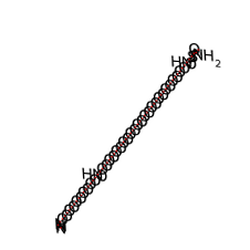 CC(=O)[C@@H](N)CSSCCC(=O)NCCOCCOCCOCCOCCOCCOCCOCCOCCOCCOCCOCCOCCOCCOCCOCCOCCOCCOCCOCCOCCOCCOCCOCCOCCC(=O)NCCOCCOCCOCCOCCOCCOCCOCCOCCOCCOCCn1cc(C)nn1